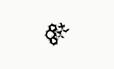 CCN(C1=NC2(ON1C)c1ccccc1CCCc1ccccc12)C(C)(C)C